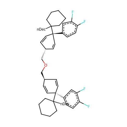 CCCCCCCCCCC1([C@]2(c3ccc(F)c(F)c3)C=C[C@H](COC[C@H]3C=C[C@@](c4ccc(F)c(F)c4)(C4(CCCCCCCCCC)CCCCC4)C=C3)C=C2)CCCCC1